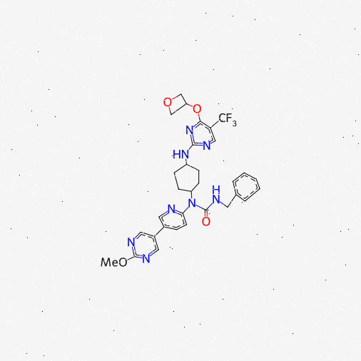 COc1ncc(-c2ccc(N(C(=O)NCc3ccccc3)C3CCC(Nc4ncc(C(F)(F)F)c(OC5COC5)n4)CC3)nc2)cn1